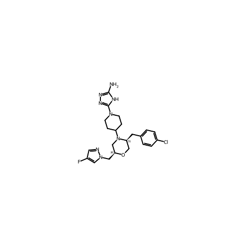 Nc1nnc(N2CCC(N3C[C@H](Cn4cc(F)cn4)OC[C@@H]3Cc3ccc(Cl)cc3)CC2)[nH]1